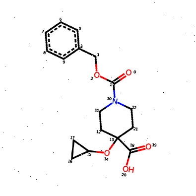 O=C(OCc1ccccc1)N1CCC(OC2CC2)(C(=O)O)CC1